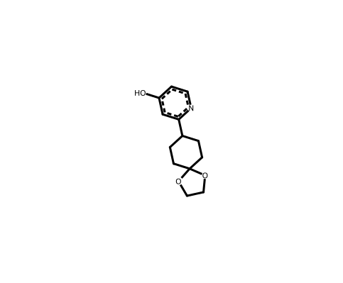 Oc1ccnc(C2CCC3(CC2)OCCO3)c1